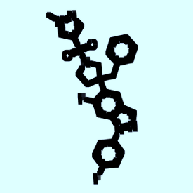 Cn1cc(S(=O)(=O)N2CCC(Cc3ccccc3)(c3cc4cnn(-c5ccc(F)cc5)c4cc3F)C2)cn1